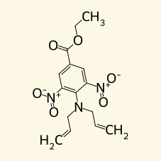 C=CCN(CC=C)c1c([N+](=O)[O-])cc(C(=O)OCC)cc1[N+](=O)[O-]